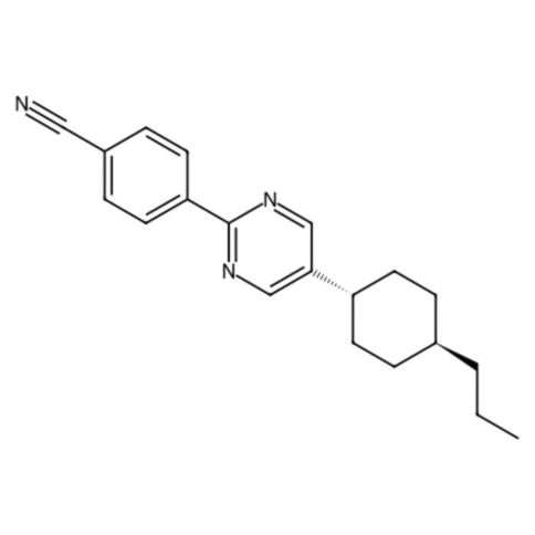 CCC[C@H]1CC[C@H](c2cnc(-c3ccc(C#N)cc3)nc2)CC1